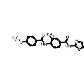 COc1ccc(C(=O)Nc2ccc(C(=O)Nc3nccs3)cc2C)cc1